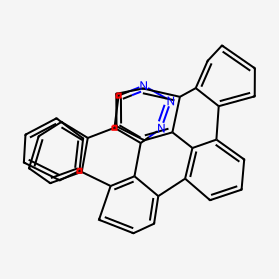 c1ccc(-c2cnnnc2-c2c(-c3ccccc3)cccc2-c2cccc3c4ccccc4c4ccccc4c23)cc1